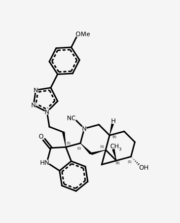 COc1ccc(-c2cn(CC[C@]3([C@@H]4C[C@]56C[C@@]5(C)[C@@H](O)CC[C@H]6CN4C#N)C(=O)Nc4ccccc43)nn2)cc1